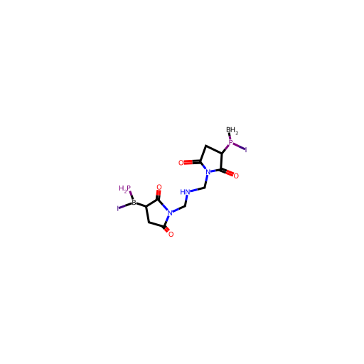 BP(I)C1CC(=O)N(CNCN2C(=O)CC(B(P)I)C2=O)C1=O